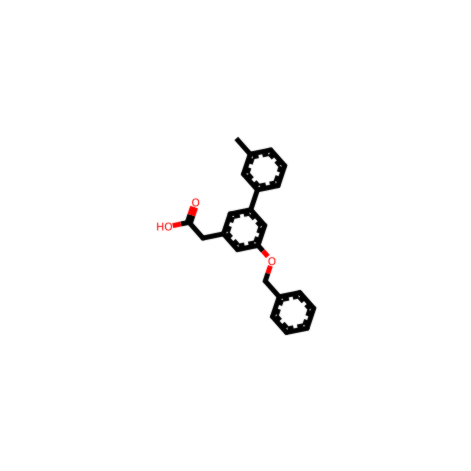 Cc1cccc(-c2cc(CC(=O)O)cc(OCc3ccccc3)c2)c1